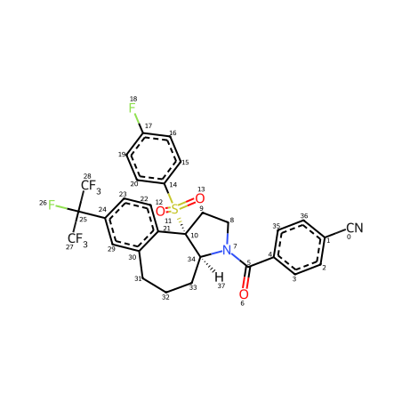 N#Cc1ccc(C(=O)N2CC[C@]3(S(=O)(=O)c4ccc(F)cc4)c4ccc(C(F)(C(F)(F)F)C(F)(F)F)cc4CCC[C@H]23)cc1